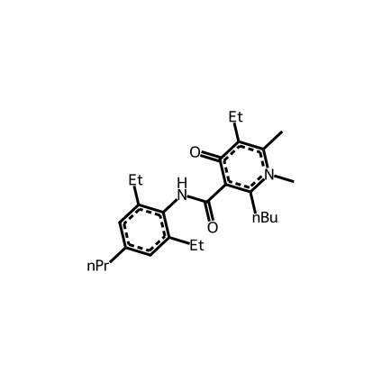 CCCCc1c(C(=O)Nc2c(CC)cc(CCC)cc2CC)c(=O)c(CC)c(C)n1C